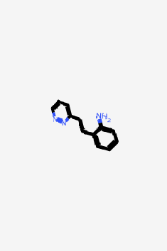 Nc1ccccc1/C=C/c1cccnn1